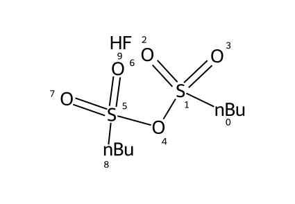 CCCCS(=O)(=O)OS(=O)(=O)CCCC.F